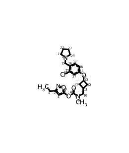 CCc1cc(OC(=O)N(C)CC2CC(Oc3ccc(CN4CCCC4)c(Cl)c3)C2)on1